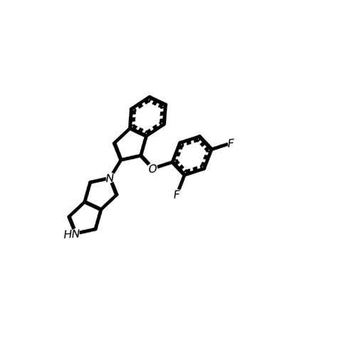 Fc1ccc(OC2c3ccccc3CC2N2CC3CNCC3C2)c(F)c1